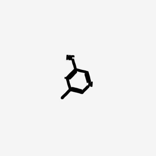 Cc1[c]c(C#N)cnc1